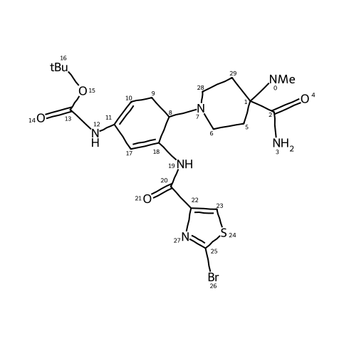 CNC1(C(N)=O)CCN(C2CC=C(NC(=O)OC(C)(C)C)C=C2NC(=O)c2csc(Br)n2)CC1